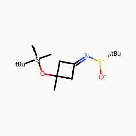 CC1(O[Si](C)(C)C(C)(C)C)CC(=N[S@@+]([O-])C(C)(C)C)C1